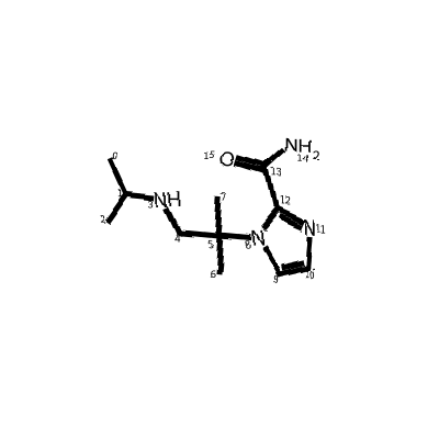 CC(C)NCC(C)(C)n1c[c]nc1C(N)=O